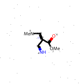 CN/C=C(\C=N)C(=O)OC